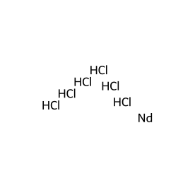 Cl.Cl.Cl.Cl.Cl.Cl.[Nd]